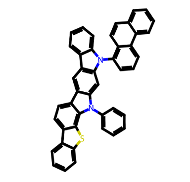 c1ccc(-n2c3cc4c(cc3c3ccc5c6ccccc6sc5c32)c2ccccc2n4-c2cccc3c2ccc2ccccc23)cc1